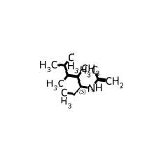 C=C(C)N[C@@H](CC)C(C)C(C)C(C)C